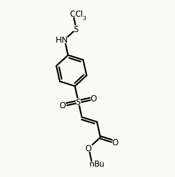 CCCCOC(=O)C=CS(=O)(=O)c1ccc(NSC(Cl)(Cl)Cl)cc1